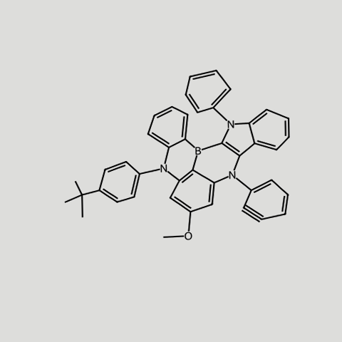 COc1cc2c3c(c1)N(c1c#cccc1)c1c(n(-c4ccccc4)c4ccccc14)B3c1ccccc1N2c1ccc(C(C)(C)C)cc1